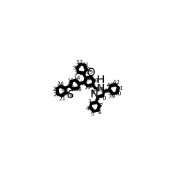 C1=C(c2ccccc2)N=C(c2cc(-c3ccc4c(c3)sc3ccccc34)c3c(c2)oc2ccccc23)NC1c1ccccc1